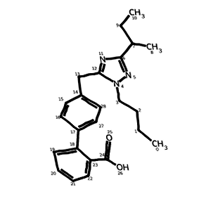 CCCCn1nc(C(C)CC)nc1Cc1ccc(-c2ccccc2C(=O)O)cc1